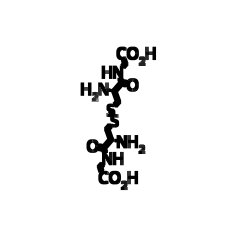 N[C@@H](CSSC[C@H](N)C(=O)NCC(=O)O)C(=O)NCC(=O)O